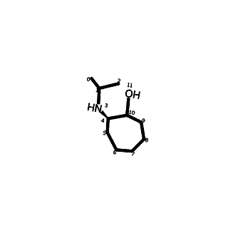 CC(C)N[C@@H]1CCCCCC1O